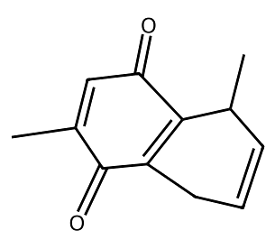 CC1=CC(=O)C2=C(CC=CC2C)C1=O